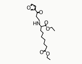 CCOC(=O)CCCCCCC(NCCC(=O)c1ccoc1)C(=O)OCC